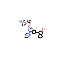 CN(C)[C@@H]1CC[C@@H]1COc1nc(N2CC3CCC(C2)N3)c2ccc(-c3cc(O)cc4ccccc34)c(F)c2n1